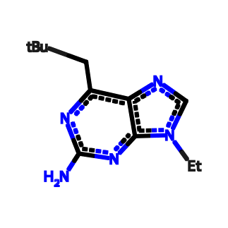 CCn1cnc2c(CC(C)(C)C)nc(N)nc21